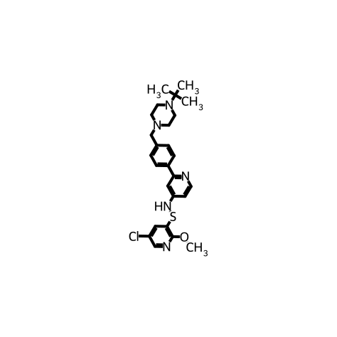 COc1ncc(Cl)cc1SNc1ccnc(-c2ccc(CN3CCN(C(C)(C)C)CC3)cc2)c1